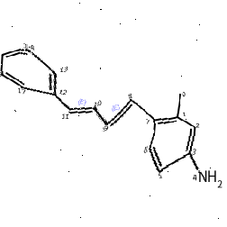 Cc1cc(N)ccc1/C=C/C=C/c1ccccc1